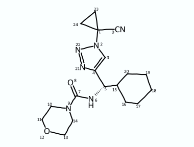 N#CC1(n2cc([C@@H](NC(=O)N3CCOCC3)C3CCCCC3)nn2)CC1